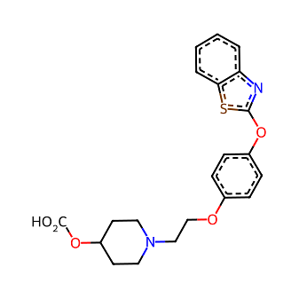 O=C(O)OC1CCN(CCOc2ccc(Oc3nc4ccccc4s3)cc2)CC1